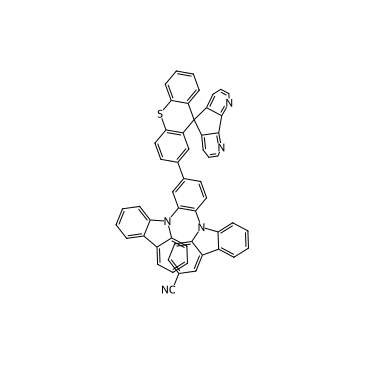 N#Cc1ccc2c(c1)c1ccccc1n2-c1ccc(-c2ccc3c(c2)C2(c4ccccc4S3)c3cccnc3-c3ncccc32)cc1-n1c2ccccc2c2ccccc21